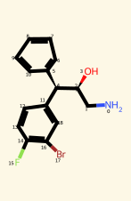 NC[C@H](O)[C@H](c1ccccc1)c1ccc(F)c(Br)c1